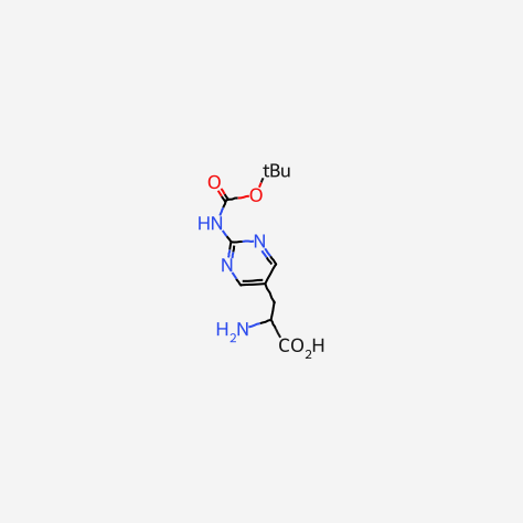 CC(C)(C)OC(=O)Nc1ncc(CC(N)C(=O)O)cn1